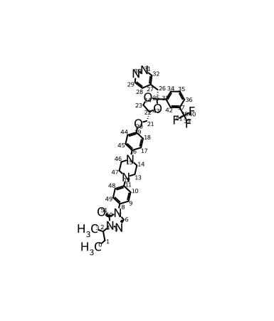 CCC(C)n1ncn(-c2ccc(N3CCN(c4ccc(OC[C@@H]5CO[C@@](Cc6ccnnc6)(c6cccc(C(F)(F)F)c6)O5)cc4)CC3)cc2)c1=O